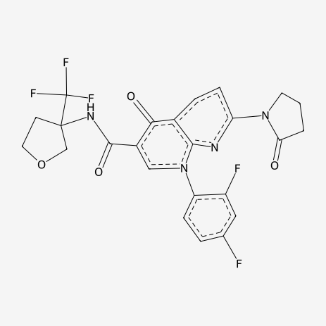 O=C(NC1(C(F)(F)F)CCOC1)c1cn(-c2ccc(F)cc2F)c2nc(N3CCCC3=O)ccc2c1=O